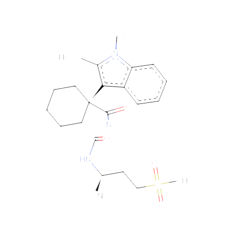 Cn1c(C(=O)O)c([C@]2(C(N)=O)CCCC[C@H]2C(=O)N[C@H](C#N)CCS(C)(=O)=O)c2ccccc21